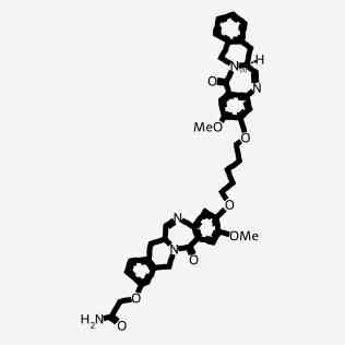 COc1cc2c(cc1OCCCCCOc1cc3c(cc1OC)C(=O)N1Cc4ccccc4C[C@H]1C=N3)N=CC1Cc3ccc(OCC(N)=O)cc3CN1C2=O